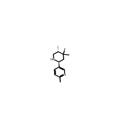 Cc1ccc([C@@H]2CC(F)(F)[C@@H](C)CN2)cn1